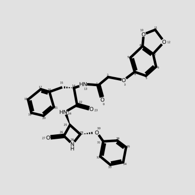 O=C(COc1ccc2c(c1)OCO2)N[C@@H](Cc1ccccc1)C(=O)N[C@@H]1C(=O)N[C@H]1Oc1ccccc1